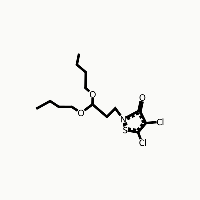 CCCCOC(CCn1sc(Cl)c(Cl)c1=O)OCCCC